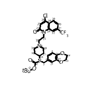 CC(C)(C)OC(=O)N(Cc1ccc2c(c1)OCCO2)C1CCN(CCn2c(=O)cc(Cl)c3ccc(C(F)(F)F)cc32)CC1